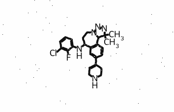 CC1(C)N=NN2CCC(Nc3cccc(Cl)c3F)c3cc(C4=CCNCC4)ccc3C21